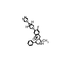 C[C@@H]1NC[C@@H](c2ccccc2)S(=O)(=O)C1Cc1cc(F)c(N2C[C@@H]3C(n4cnnc4)[C@@H]3C2)cc1F